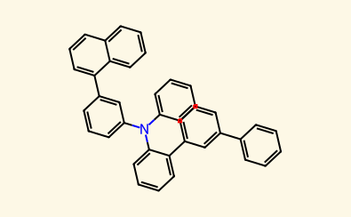 c1ccc(-c2cccc(-c3ccccc3N(c3ccccc3)c3cccc(-c4cccc5ccccc45)c3)c2)cc1